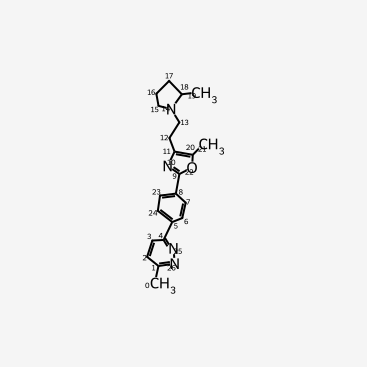 Cc1ccc(-c2ccc(-c3nc(CCN4CCCC4C)c(C)o3)cc2)nn1